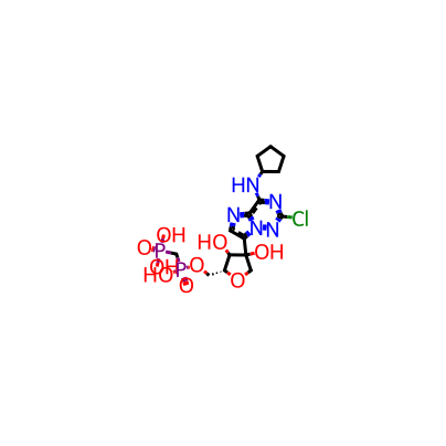 O=P(O)(O)CP(=O)(O)OC[C@H]1OCC(O)(c2cnc3c(NC4CCCC4)nc(Cl)nn23)C1O